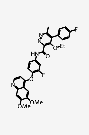 CCOc1c(C(=O)Nc2ccc(Oc3ccnc4cc(OC)c(OC)cc34)c(F)c2)nnc(C)c1-c1ccc(F)cc1